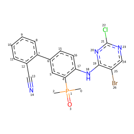 CP(C)(=O)c1cc(-c2ccccc2C#N)ccc1Nc1nc(Cl)ncc1Br